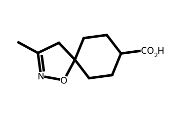 CC1=NOC2(CCC(C(=O)O)CC2)C1